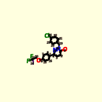 O=c1ccc(-c2ccc(OCC(F)(F)I)cc2)nn1Cc1ccc(Cl)cc1